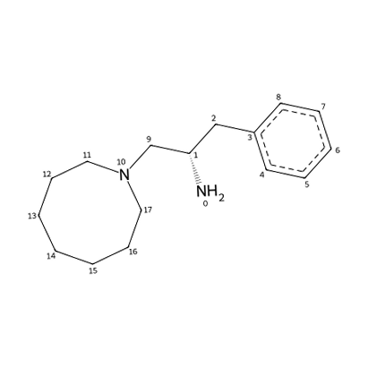 N[C@@H](Cc1ccccc1)CN1CCCCCCC1